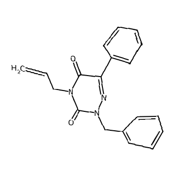 C=CCn1c(=O)c(-c2ccccc2)nn(Cc2ccccc2)c1=O